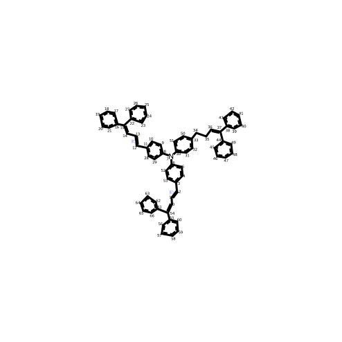 C(/C=C/c1ccc(N(c2ccc(/C=C/C=C(c3ccccc3)c3ccccc3)cc2)c2ccc(CCC=C(c3ccccc3)c3ccccc3)cc2)cc1)=C(c1ccccc1)c1ccccc1